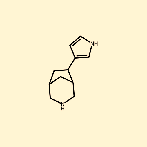 c1cc(C2CC3CNCC2C3)c[nH]1